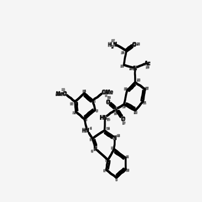 COc1cc(Nc2nc3ccccc3nc2NS(=O)(=O)c2cccc(N(CC(N)=O)C(C)=O)c2)cc(OC)c1